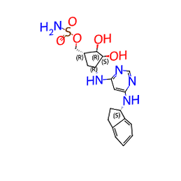 NS(=O)(=O)OC[C@H]1C[C@@H](Nc2cc(N[C@H]3CCc4ccccc43)ncn2)[C@H](O)[C@@H]1O